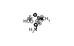 CS(=O)(=O)N1C[C@H](c2ccccc2)C[C@@H]1CS(=O)(=O)c1cccc(CN)c1.O=C(O)C(F)(F)F